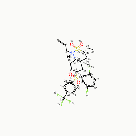 C=CCN1[C@@H]2CC[C@](c3cc(F)ccc3F)(S(=O)(=O)c3ccc(C(F)(F)F)cc3)C[C@@H]2C[C@@H](CC)S1(=O)=O